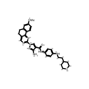 COc1ccc2c(c1)CCc1cnc(-n3cc(C(=O)Nc4ccc(NCCC5CCOCC5)cc4)c(N)n3)nc1-2